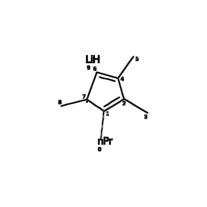 CCCC1=C(C)C(C)=C[C]1C.[LiH]